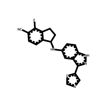 N#Cc1ccc2c(c1F)CCC2Nc1ccc2[nH]nc(-c3cnco3)c2c1